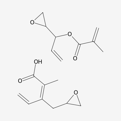 C=CC(CC1CO1)=C(C)C(=O)O.C=CC(OC(=O)C(=C)C)C1CO1